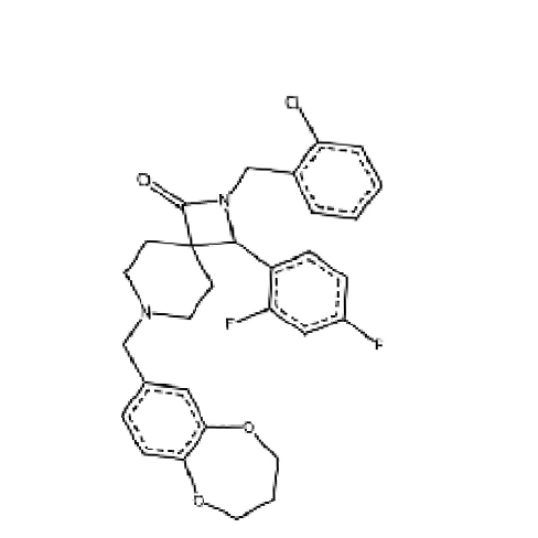 O=C1N(Cc2ccccc2Cl)C(c2ccc(F)cc2F)C12CCN(Cc1ccc3c(c1)OCCCO3)CC2